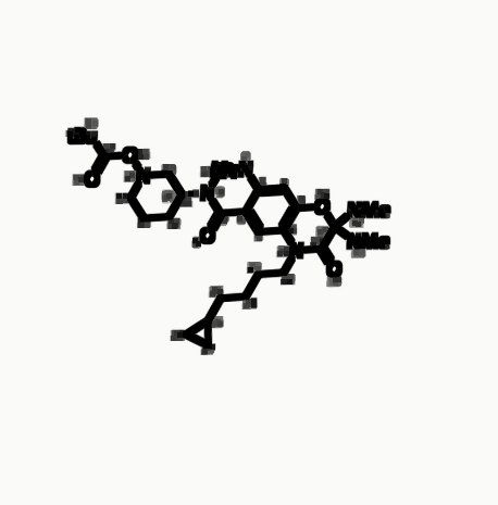 CNc1cc2c(cc1C(=O)N(C(C)C)[C@@H]1CCCN(OC(=O)C(C)(C)C)C1)N(CCCCC1CC1)C(=O)C(NC)(NC)O2